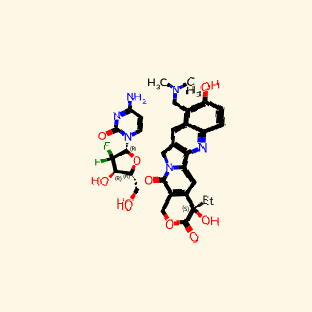 CC[C@@]1(O)C(=O)OCc2c1cc1n(c2=O)Cc2cc3c(CN(C)C)c(O)ccc3nc2-1.Nc1ccn([C@@H]2O[C@H](CO)[C@@H](O)C2(F)F)c(=O)n1